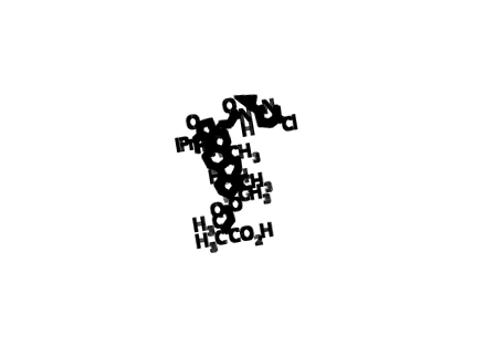 CC(C)C1=C2[C@H]3CC[C@@H]4[C@@]5(C)CC[C@H](OC(=O)CC(C)(C)C(=O)O)C(C)(C)[C@@H]5CC[C@@]4(C)[C@]3(C)CC[C@@]2(C=CC(=O)NC2(c3ccc(Cl)cn3)CC2)CC1=O